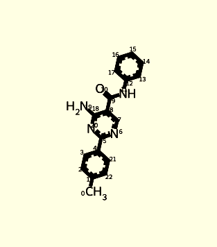 Cc1ccc(-c2ncc(C(=O)Nc3ccccc3)c(N)n2)cc1